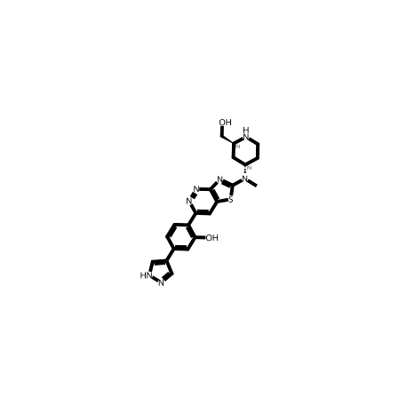 CN(c1nc2nnc(-c3ccc(-c4cn[nH]c4)cc3O)cc2s1)[C@H]1CCN[C@H](CO)C1